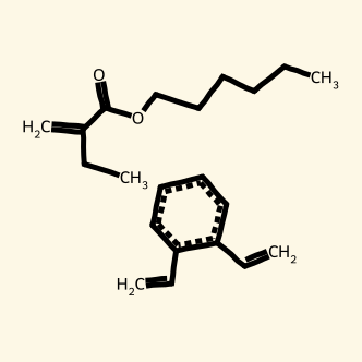 C=C(CC)C(=O)OCCCCCC.C=Cc1ccccc1C=C